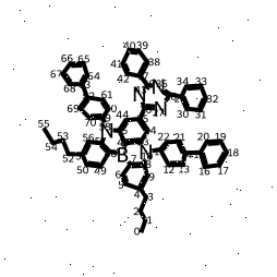 CCCCc1ccc2c(c1)N(c1ccc(-c3ccccc3)cc1)c1cc(-c3nc(-c4ccccc4)nc(-c4ccccc4)n3)cc3c1B2c1ccc(CCCC)cc1N3c1ccc(-c2ccccc2)cc1